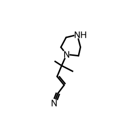 CC(C)(C=CC#N)N1CCNCC1